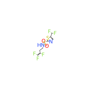 O=S(=O)(NCCC(F)=C(F)F)c1ncc(C(F)F)s1